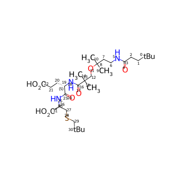 CC(C)(C)CCC(=O)NCCC(C)(C)OCC(C)(C)C(=O)N[C@@H](CCC(=O)O)C(=O)N[C@@H](CSCC(C)(C)C)C(=O)O